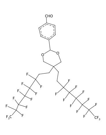 O=Cc1ccc(C2OCC(CCC(F)(F)C(F)(F)C(F)(F)C(F)(F)C(F)(F)C(F)(F)F)(CCC(F)(F)C(F)(F)C(F)(F)C(F)(F)C(F)(F)C(F)(F)F)CO2)cc1